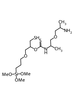 CO[Si](CCCOCC(CS)OC(=S)NC(C)COCC(C)N)(OC)OC